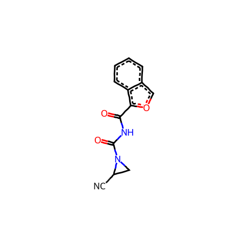 N#CC1CN1C(=O)NC(=O)c1occ2ccccc12